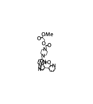 COC(=O)COC(=O)N1CCN(c2ccn3ncc(-c4cccnc4OC)c3n2)CC1